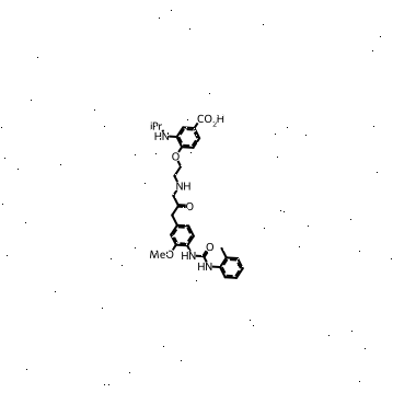 COc1cc(CC(=O)CNCCOc2ccc(C(=O)O)cc2NC(C)C)ccc1NC(=O)Nc1ccccc1C